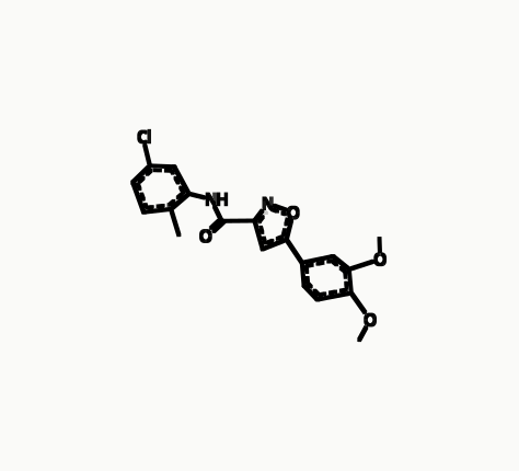 COc1ccc(-c2cc(C(=O)Nc3cc(Cl)ccc3C)no2)cc1OC